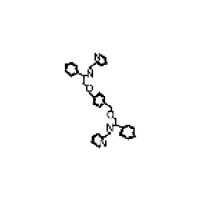 C(=N\[C@@H](COCc1ccc(COC[C@H](/N=C/c2ccccn2)c2ccccc2)cc1)c1ccccc1)/c1ccccn1